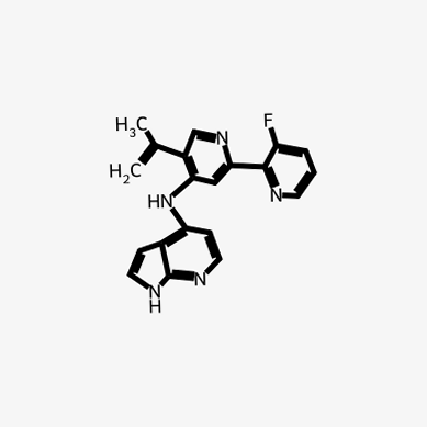 C=C(C)c1cnc(-c2ncccc2F)cc1Nc1ccnc2[nH]ccc12